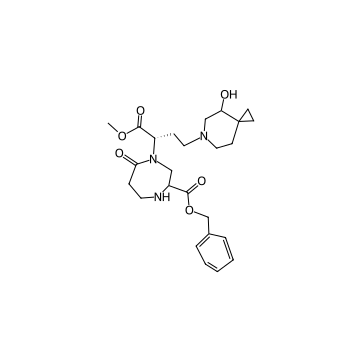 COC(=O)[C@H](CCN1CCC2(CC2)C(O)C1)N1CC(C(=O)OCc2ccccc2)NCCC1=O